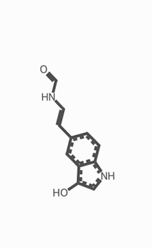 O=CNC=Cc1ccc2[nH]cc(O)c2c1